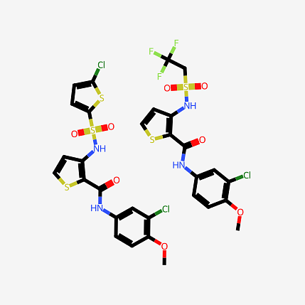 COc1ccc(NC(=O)c2sccc2NS(=O)(=O)CC(F)(F)F)cc1Cl.COc1ccc(NC(=O)c2sccc2NS(=O)(=O)c2ccc(Cl)s2)cc1Cl